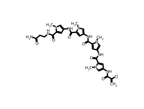 C=C(Cl)C(=O)Nc1cc(C(=O)Nc2cc(C(=O)Nc3cc(C(=O)Nc4cc(C(=O)NCCC(N)=O)n(C)c4)n(C)c3)n(C)c2)n(C)c1